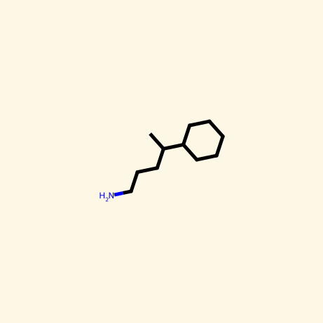 CC(CCCN)C1CCCCC1